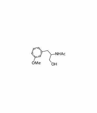 COc1cccc(CC(CO)NC(C)=O)c1